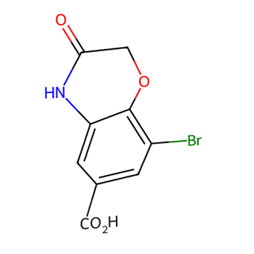 O=C1COc2c(Br)cc(C(=O)O)cc2N1